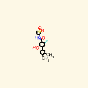 Cc1ccc(-c2cc(F)c(C(=O)N[C@H]3C=CS(=O)(=O)C3)cc2O)cc1C